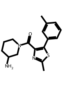 Cc1cccc(-c2sc(C)nc2C(=O)N2CCCC(N)C2)c1